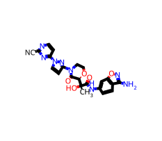 C[C@](O)(C(=O)Nc1ccc2c(N)noc2c1)[C@H]1OCCN(c2ccn(-c3ccnc(C#N)n3)n2)C1=O